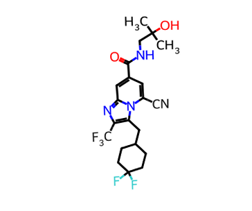 CC(C)(O)CNC(=O)c1cc(C#N)n2c(CC3CCC(F)(F)CC3)c(C(F)(F)F)nc2c1